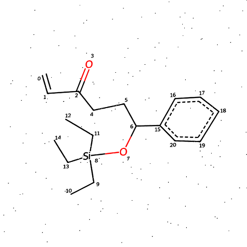 C=CC(=O)CCC(O[Si](CC)(CC)CC)c1ccccc1